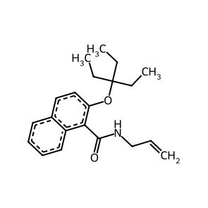 C=CCNC(=O)c1c(OC(CC)(CC)CC)ccc2ccccc12